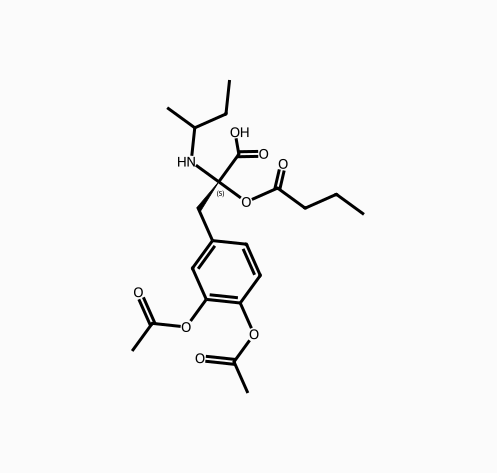 CCCC(=O)O[C@](Cc1ccc(OC(C)=O)c(OC(C)=O)c1)(NC(C)CC)C(=O)O